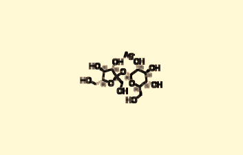 OC[C@H]1O[C@@](CO)(O[C@H]2O[C@H](CO)[C@@H](O)[C@H](O)[C@H]2O)[C@@H](O)[C@@H]1O.[Ag]